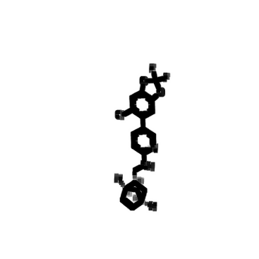 FC1(F)Oc2cc(Cl)c(-c3ccc(NC[C@@H]4C[C@H]5C=C[C@@H]4C5)nc3)cc2O1